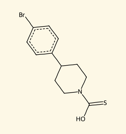 OC(=S)N1CCC(c2ccc(Br)cc2)CC1